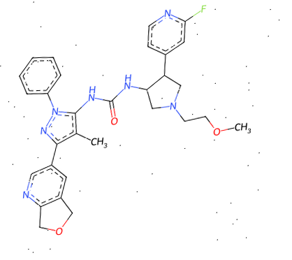 COCCN1CC(NC(=O)Nc2c(C)c(-c3cnc4c(c3)COC4)nn2-c2ccccc2)C(c2ccnc(F)c2)C1